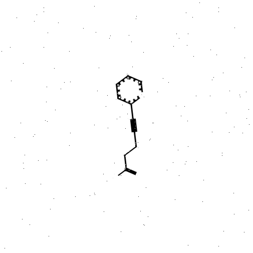 O=C(O)CCC#Cc1ccccn1